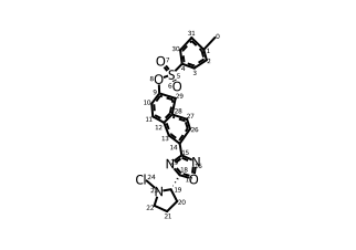 Cc1ccc(S(=O)(=O)Oc2ccc3cc(-c4noc([C@@H]5CCCN5Cl)n4)ccc3c2)cc1